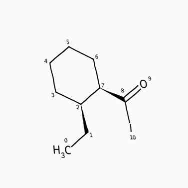 CC[C@H]1CCCC[C@H]1C(=O)I